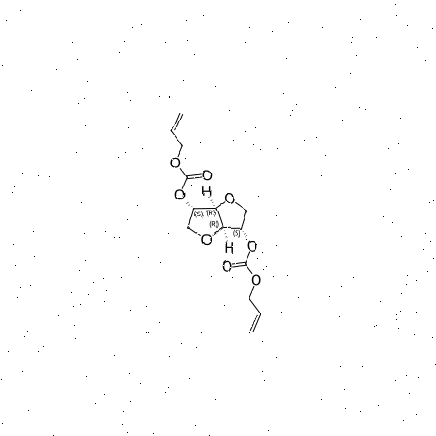 C=CCOC(=O)O[C@H]1CO[C@H]2[C@@H]1OC[C@@H]2OC(=O)OCC=C